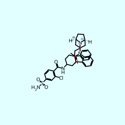 Cc1nc2ccccc2n1C1C[C@H]2CC[C@@H](C1)N2CCC1(c2ccccc2)CCC(NC(=O)c2ccc(S(N)(=O)=O)cc2Cl)CC1